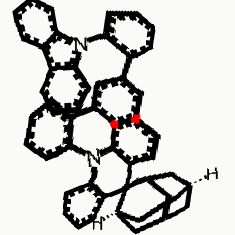 c1cc(-c2ccccc2N2c3ccccc3C3(c4ccccc42)C2CC4C[C@H](C2)C[C@H]3C4)cc(-c2ccccc2-n2c3ccccc3c3ccccc32)c1